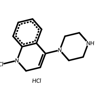 Cl.ClN1CC=C(N2CCNCC2)c2ccccc21